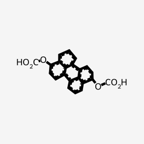 O=C(O)Oc1ccc2c3cccc4c(OC(=O)O)ccc(c5cccc1c52)c43